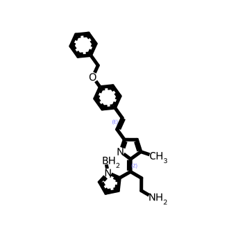 Bn1cccc1/C(CCN)=C1N=C(/C=C/c2ccc(OCc3ccccc3)cc2)C=C\1C